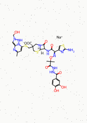 CC1=NC2=CN(CO)NN2C(SCC2(C(=O)[O-])CS[C@@H]3C(NC(=O)C(=NOC(C)(C)C(=O)NNC(=O)c4ccc(O)c(O)c4)c4csc(N)n4)C(=O)N3C2)=C1.[Na+]